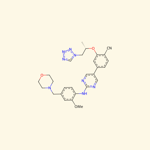 COc1cc(CN2CCOCC2)ccc1Nc1ncc(-c2ccc(C#N)c(O[C@@H](C)Cn3cnnn3)c2)cn1